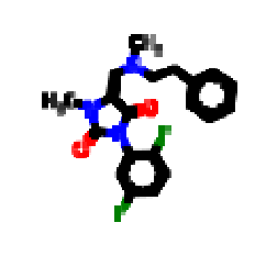 CN(C=C1C(=O)N(c2cc(F)ccc2F)C(=O)N1C)CCc1ccccc1